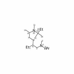 CCCN(C)CC(CC)CCC(C)N(C)C(C)(C)CC